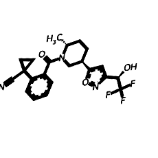 C[C@@H]1CC[C@@H](c2cc([C@@H](O)C(F)(F)F)no2)CN1C(=O)c1ccccc1C1(C#N)CC1